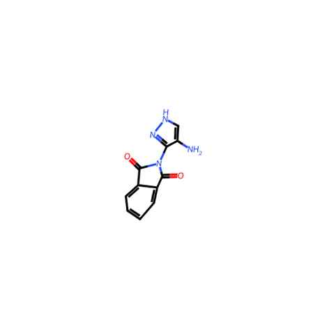 Nc1c[nH]nc1N1C(=O)c2ccccc2C1=O